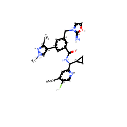 COc1cc([C@@H](NC(=O)c2cc(Cn3ccoc3=N)cc(-c3cn(C)nc3C(F)(F)F)c2)C2CC2)ncc1F